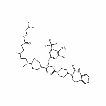 CC(CCC(=O)OCCN(C)C)CCN(C)C1CCN(C(=O)[C@@H](Cc2cc(Cl)c(N)c(C(F)(F)F)c2)OC(=O)N2CCC(N3CCc4ccccc4NC3=O)CC2)CC1